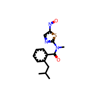 CC(C)Cc1ccccc1C(=O)N(C)c1ncc(N=O)s1